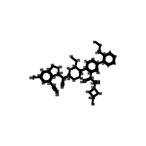 CCOc1ccccc1-c1ccc(N2CCN(C(=O)N3CCc4cc(F)cc(C#N)c43)C[C@H]2CC)c(C(=O)NC2CN(C)C2)n1